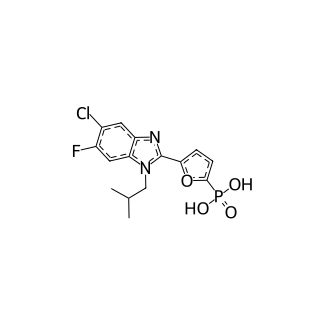 CC(C)Cn1c(-c2ccc(P(=O)(O)O)o2)nc2cc(Cl)c(F)cc21